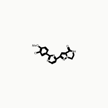 COc1ccc(-c2nccc(-c3cc4n(n3)CCNC4=O)n2)cc1Cl